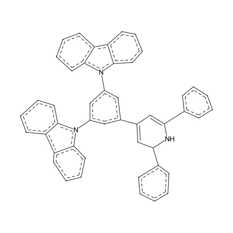 C1=C(c2cc(-n3c4ccccc4c4ccccc43)cc(-n3c4ccccc4c4ccccc43)c2)C=C(c2ccccc2)NC1c1ccccc1